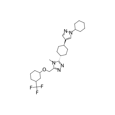 Cn1c(COC2CCCC(C(F)(F)F)C2)nnc1[C@H]1CC[C@H](c2cnn(C3CCCCC3)c2)CC1